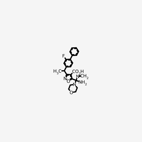 C=NC(N)(c1onc(C(C)c2ccc(-c3ccccc3)c(F)c2)c1C(=O)O)N1CCOCC1